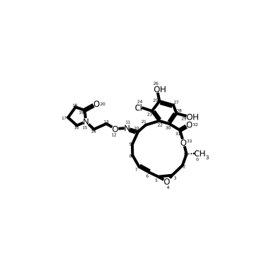 C[C@@H]1CC2OC2/C=C\CC/C(=N\OCCN2CCCC2=O)Cc2c(Cl)c(O)cc(O)c2C(=O)O1